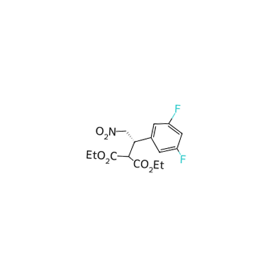 CCOC(=O)C(C(=O)OCC)[C@H](C[N+](=O)[O-])c1cc(F)cc(F)c1